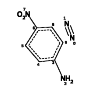 N#N.Nc1ccc([N+](=O)[O-])cc1